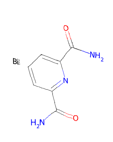 NC(=O)c1cccc(C(N)=O)n1.[Bi]